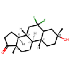 C[C@@]1(O)CC[C@H]2C(C1)C(F)(F)C[C@@H]1[C@@H]2CC[C@]2(C)C(=O)CC[C@@H]12